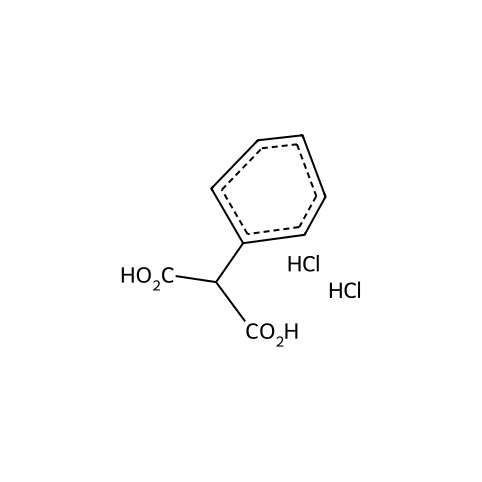 Cl.Cl.O=C(O)C(C(=O)O)c1ccccc1